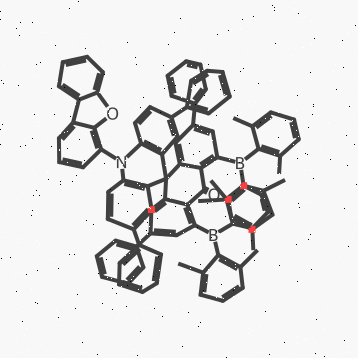 Cc1cccc(C)c1B(c1cc(-c2ccccc2)cc2c1C(=O)c1c(B(c3c(C)cccc3C)c3c(C)cccc3C)cc(-c3ccccc3)cc1C21c2cc(-c3ccccc3)ccc2N(c2cccc3c2oc2ccccc23)c2ccc(-c3ccccc3)cc21)c1c(C)cccc1C